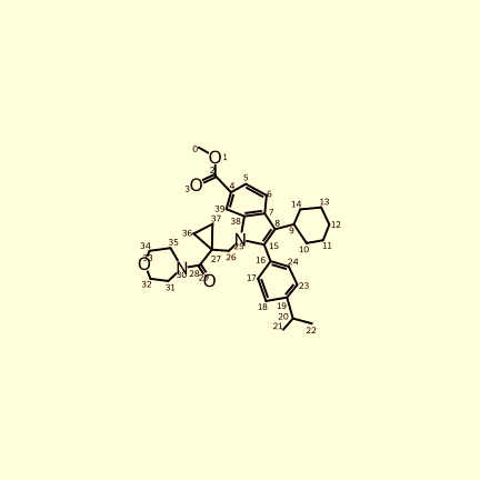 COC(=O)c1ccc2c(C3CCCCC3)c(-c3ccc(C(C)C)cc3)n(CC3(C(=O)N4CCOCC4)CC3)c2c1